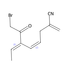 C=C(C#N)C/C=C\C(=C/C)C(=O)CBr